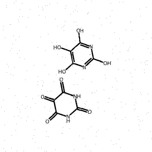 O=C1NC(=O)C(=O)C(=O)N1.Oc1nc(O)c(O)c(O)n1